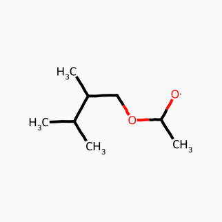 CC([O])OCC(C)C(C)C